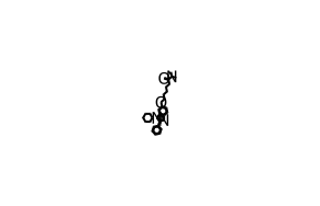 CN(C)C(=O)CCCCCOc1ccc2nc(-c3ccccc3)n(C3CCCCC3)c2c1